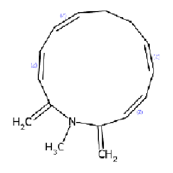 C=C1/C=C\C=C/CC/C=C\C=C/C(=C)N1C